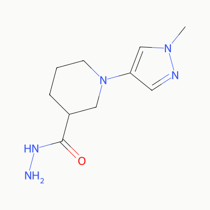 Cn1cc(N2CCCC(C(=O)NN)C2)cn1